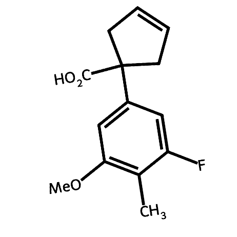 COc1cc(C2(C(=O)O)CC=CC2)cc(F)c1C